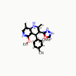 CCOc1ncc(C)c2c1C(c1ccc(C#N)cc1OC)C(c1nnco1)=C(C)N2